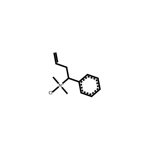 C=CCC(c1ccccc1)[N+](C)(C)Cl